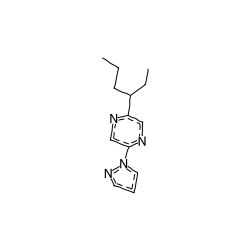 CCCC(CC)c1cnc(-n2cccn2)cn1